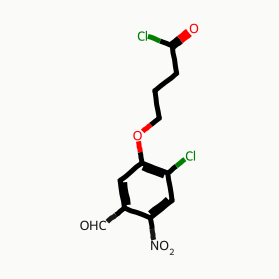 O=Cc1cc(OCCCC(=O)Cl)c(Cl)cc1[N+](=O)[O-]